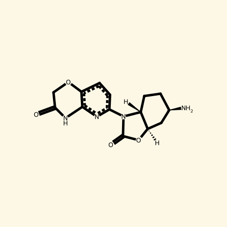 N[C@@H]1CC[C@@H]2[C@@H](C1)OC(=O)N2c1ccc2c(n1)NC(=O)CO2